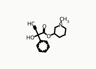 C#CC(O)(C(=O)OC1CCCN(C)C1)c1ccccc1